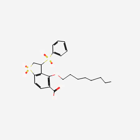 CCCCCCCCOc1c(C(=O)O)ccc2c1C(S(=O)(=O)c1ccccc1)CS2(=O)=O